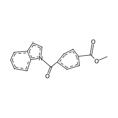 COC(=O)c1ccc(C(=O)n2c[c]c3ccccc32)cc1